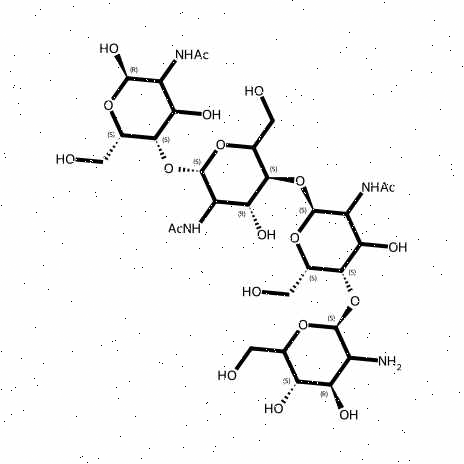 CC(=O)NC1C(O)[C@H](O[C@@H]2OC(CO)[C@@H](O)[C@H](O)C2N)[C@H](CO)O[C@H]1O[C@@H]1C(CO)O[C@@H](O[C@H]2C(O)C(NC(C)=O)[C@H](O)O[C@H]2CO)C(NC(C)=O)[C@H]1O